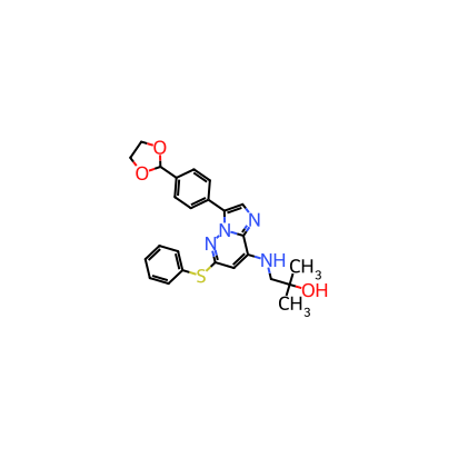 CC(C)(O)CNc1cc(Sc2ccccc2)nn2c(-c3ccc(C4OCCO4)cc3)cnc12